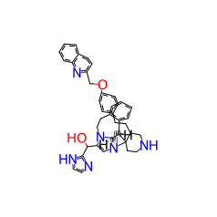 OC(C1=CN2[C@@H]3[C@H](c4ccccc4CCN13)C21CCNCC1CCc1ccc(OCc2ccc3ccccc3n2)cc1)c1ncc[nH]1